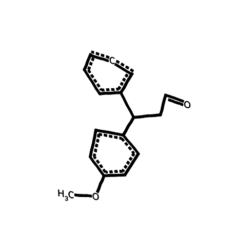 COc1ccc(C(CC=O)c2ccccc2)cc1